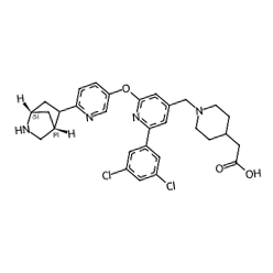 O=C(O)CC1CCN(Cc2cc(Oc3ccc(C4C[C@@H]5C[C@H]4CN5)nc3)nc(-c3cc(Cl)cc(Cl)c3)c2)CC1